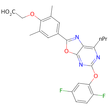 CCCc1nc(Oc2cc(F)ccc2F)nc2oc(-c3cc(C)c(OCC(=O)O)c(C)c3)nc12